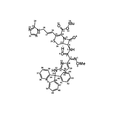 CON=C(C(=O)N[C@@H]1C(=O)N2C(C(=O)OC(C)(C)C)=C(C=CCn3ccnc3C)SC[C@H]12)c1csc(NC(c2ccccc2)(c2ccccc2)c2ccccc2)n1